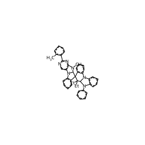 CCC1(CC)C2N(c3ccccc3)c3ccccc3N2c2ccccc2C12c1ccccc1N1c3cnc(-c4ccccc4C)nc3N(C)C12